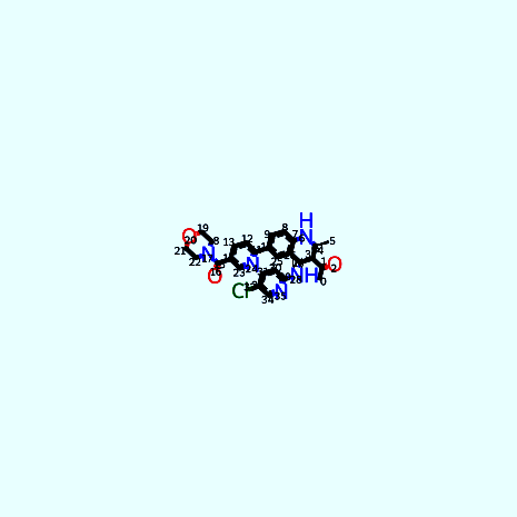 CC(=O)C1[C@H](C)Nc2ccc(-c3ccc(C(=O)N4CCOCC4)cn3)cc2[C@@H]1Nc1ccc(Cl)cn1